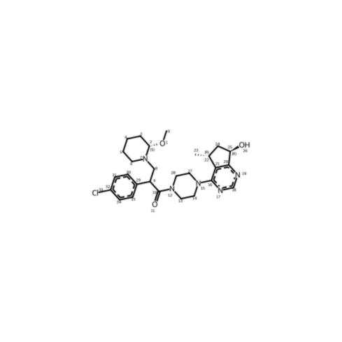 CO[C@H]1CCCCN1CC(C(=O)N1CCN(c2ncnc3c2[C@H](C)C[C@H]3O)CC1)c1ccc(Cl)cc1